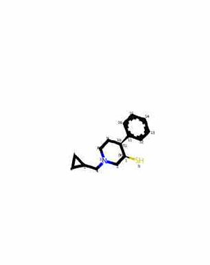 S[C@H]1CN(CC2CC2)CC[C@H]1c1ccccc1